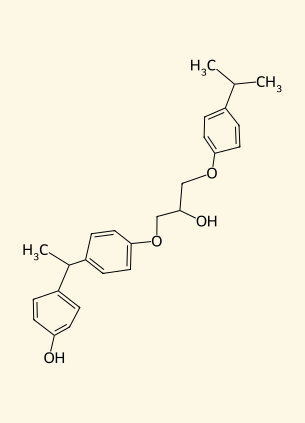 CC(C)c1ccc(OCC(O)COc2ccc(C(C)c3ccc(O)cc3)cc2)cc1